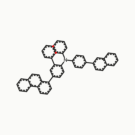 c1ccc(-c2cc(-c3cccc4c3ccc3ccccc34)ccc2N(c2ccccc2)c2ccc(-c3ccc4ccccc4c3)cc2)cc1